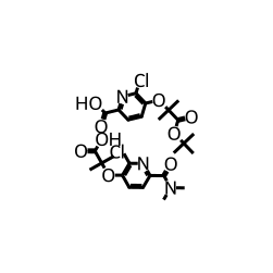 CC(C)(C)OC(=O)C(C)(C)Oc1ccc(C(=O)O)nc1Cl.CN(C)C(=O)c1ccc(OC(C)(C)C(=O)O)c(Cl)n1